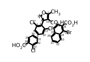 Cc1onc(-c2c(Cl)cccc2Cl)c1C(=O)O.O=C(O)c1ccc2ccccc2c1Br.O=C(O)c1ccccc1Cl